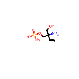 C=CC(N)(CO)COP(=O)(O)O